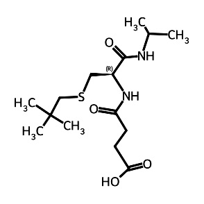 CC(C)NC(=O)[C@H](CSCC(C)(C)C)NC(=O)CCC(=O)O